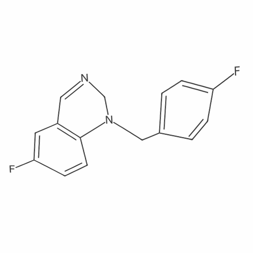 Fc1ccc(CN2CN=Cc3cc(F)ccc32)cc1